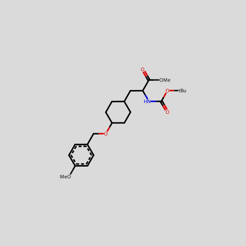 COC(=O)C(CC1CCC(OCc2ccc(OC)cc2)CC1)NC(=O)OC(C)(C)C